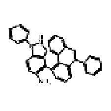 O=[N+]([O-])c1ccc2c(c1-c1cccc3c(-c4ccccc4)cc4ccccc4c13)CNN2c1ccccc1